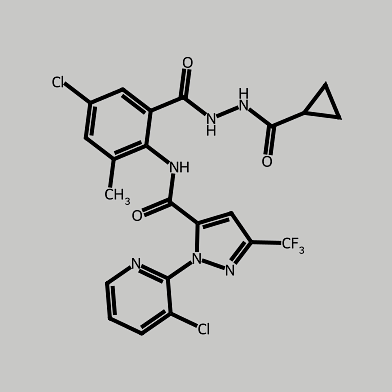 Cc1cc(Cl)cc(C(=O)NNC(=O)C2CC2)c1NC(=O)c1cc(C(F)(F)F)nn1-c1ncccc1Cl